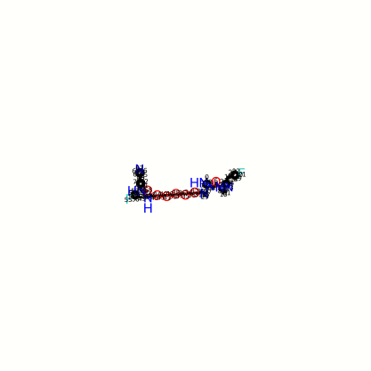 C[C@@H]1CN(CC(=O)N2CC(C)(C)c3ncc(Cc4ccc(F)cc4)cc32)[C@@H](CN(C)CCOCCOCCOCCOCCOCCN[C@H](Cc2cccc(F)c2)C(=O)Nc2ccc(-c3ccncc3)cc2)CN1